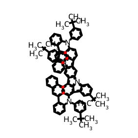 CC(C)(C)c1cccc(N(c2ccccc2-c2ccc3ccccc3c2)c2ccc3c4cc5c(cc4n4c6ccc(C(C)(C)C)cc6c2c34)c2ccc(N(c3cccc(C(C)(C)C)c3)c3ccccc3-c3ccc4ccccc4c3)c3c4cc(C(C)(C)C)ccc4n5c23)c1